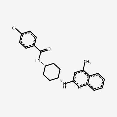 Cc1cc(N[C@H]2CC[C@@H](NC(=O)c3ccc(Cl)cc3)CC2)nc2ccccc12